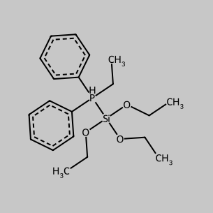 CCO[Si](OCC)(OCC)[PH](CC)(c1ccccc1)c1ccccc1